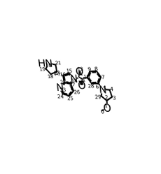 COC1CCN(c2cccc(S(=O)(=O)n3cc([C@@H]4CCNC4)c4ncccc43)c2)C1